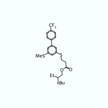 CCCCC(CC)COC(=O)CCSc1cc(SC)cc(-c2ccc(C(F)(F)F)cc2)c1